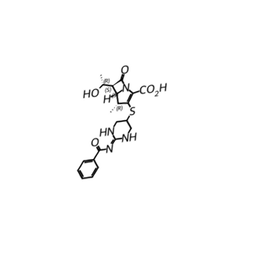 C[C@@H](O)[C@H]1C(=O)N2C(C(=O)O)=C(SC3CNC(=NC(=O)c4ccccc4)NC3)[C@H](C)[C@H]12